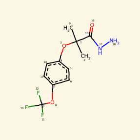 CC(C)(Oc1ccc(OC(F)(F)F)cc1)C(=O)NN